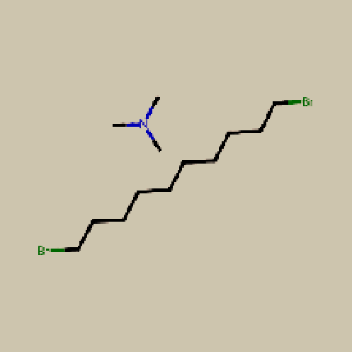 BrCCCCCCCCCCBr.CN(C)C